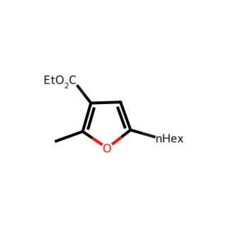 CCCCCCc1cc(C(=O)OCC)c(C)o1